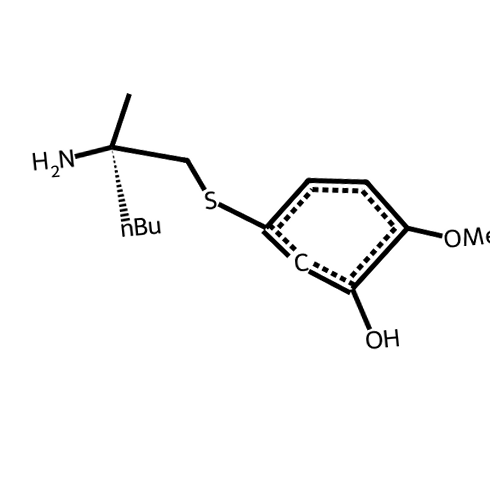 CCCC[C@@](C)(N)CSc1ccc(OC)c(O)c1